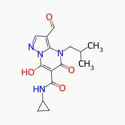 CC(C)Cn1c(=O)c(C(=O)NC2CC2)c(O)n2ncc(C=O)c12